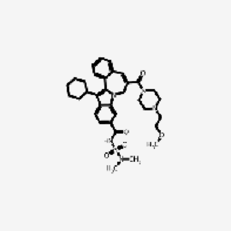 COCCN1CCN(C(=O)C2=Cc3ccccc3-c3c(C4CCCCC4)c4ccc(C(=O)NS(=O)(=O)N(C)C)cc4n3C2)CC1